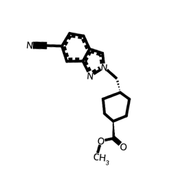 COC(=O)[C@H]1CC[C@H](Cn2cc3ccc(C#N)cc3n2)CC1